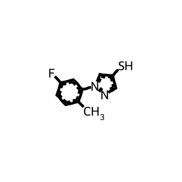 Cc1ccc(F)cc1-n1cc(S)cn1